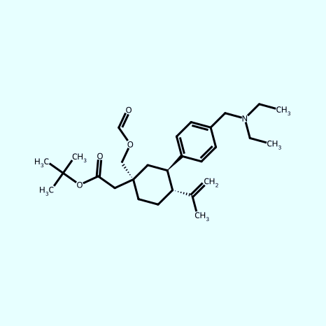 C=C(C)[C@@H]1CC[C@@](COC=O)(CC(=O)OC(C)(C)C)C[C@H]1c1ccc(CN(CC)CC)cc1